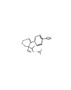 CC(CN(C)C)C1(O)CCCCC1c1ccc(O)cc1